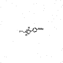 CNc1ccc(N2C[C@@H]3C[C@H]2CN3CCF)cc1